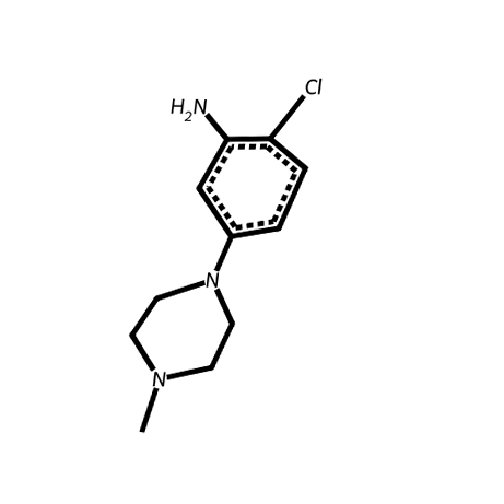 CN1CCN(c2ccc(Cl)c(N)c2)CC1